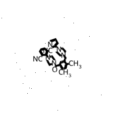 Cc1cc(C)c(C(=O)N2CCN(c3ccccc3C#N)CC2)cc1CN1CCN(c2cccnc2C#N)CC1